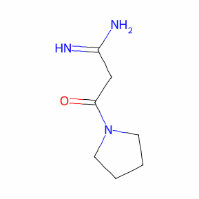 N=C(N)CC(=O)N1CCCC1